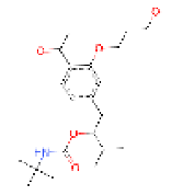 COCCCOc1cc(CC(OC(=O)NC(C)(C)C)C(C)C)ccc1C(C)=O